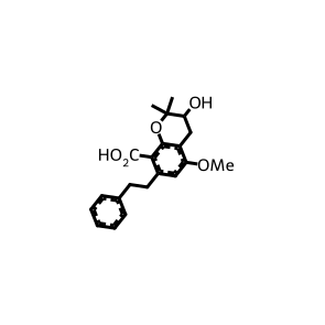 COc1cc(CCc2ccccc2)c(C(=O)O)c2c1CC(O)C(C)(C)O2